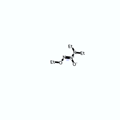 CCO/N=[N+](\[O-])N(CC)CC